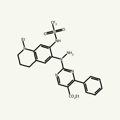 CCOC(=O)c1cnc(N(N)c2cc3c(cc2NS(=O)(=O)C(F)(F)F)N(CC)CCC3)nc1-c1ccccc1